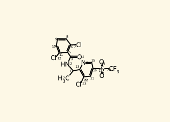 CC(NC(=O)c1c(Cl)cccc1Cl)c1ncc(S(=O)(=O)C(F)(F)F)cc1Cl